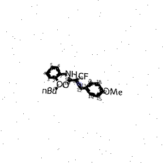 CCCCOc1ccccc1NC(=O)/C(=C/c1ccc(OC)cc1)C(F)(F)F